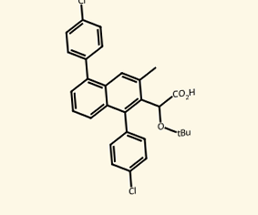 Cc1cc2c(-c3ccc(Cl)cc3)cccc2c(-c2ccc(Cl)cc2)c1C(OC(C)(C)C)C(=O)O